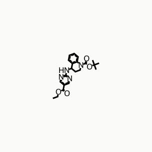 CCOC(=O)c1cnc(NC2CCN(C(=O)OC(C)(C)C)c3ccccc32)nc1